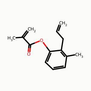 C=CCc1c(C)cccc1OC(=O)C(=C)C